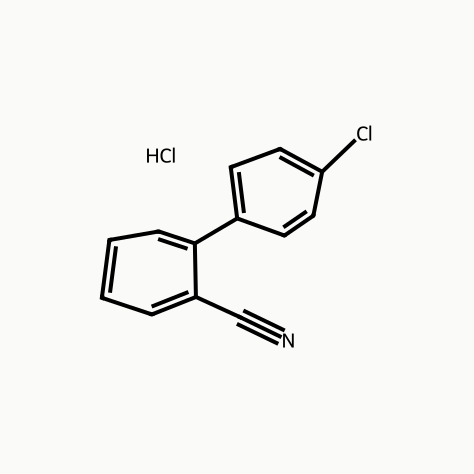 Cl.N#Cc1ccccc1-c1ccc(Cl)cc1